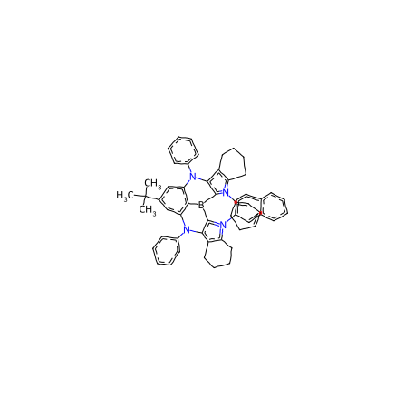 CC(C)(C)c1cc2c3c(c1)N(c1ccccc1)c1c4c(n(C5=CC=CCC5)c1B3c1c(c3c(n1C1=C=C=c5ccccc5=C1)CCCC3)N2c1ccccc1)CCCC4